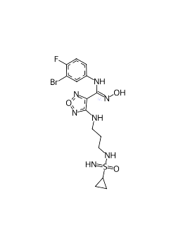 N=S(=O)(NCCCNc1nonc1/C(=N/O)Nc1ccc(F)c(Br)c1)C1CC1